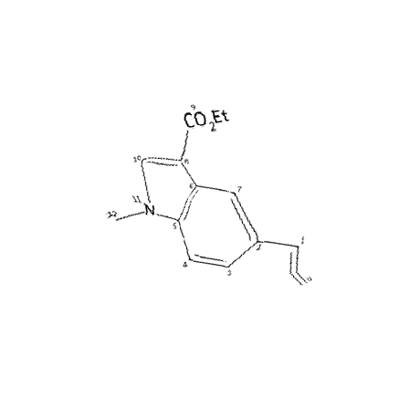 C=Cc1ccc2c(c1)c(C(=O)OCC)cn2C